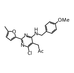 COc1ccc(CNc2nc(-c3ccc(C)o3)nc(Cl)c2CC(C)=O)cc1